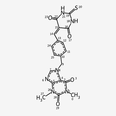 Cn1c(=O)c2c(ncn2Cc2ccc(C=C3C(=O)NC(=S)NC3=O)cc2)n(C)c1=O